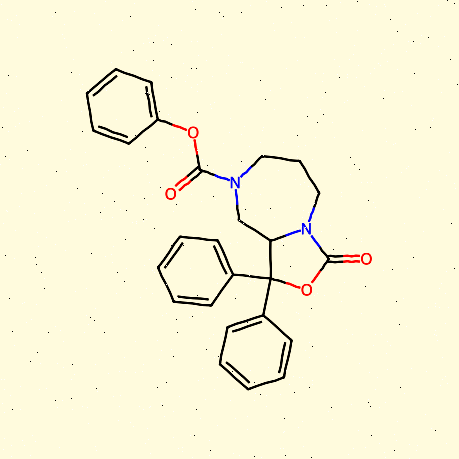 O=C(Oc1ccccc1)N1CCCN2C(=O)OC(c3ccccc3)(c3ccccc3)C2C1